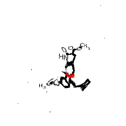 COC(=O)c1cc2c([nH]c1=O)C[C@]13CCN(CC4CC4)C[C@]1(Cc1ccc(OC)cc13)C2